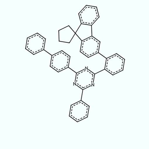 c1ccc(-c2ccc(-c3nc(-c4ccccc4)nc(-c4ccccc4-c4ccc5c(c4)-c4ccccc4C54CCCC4)n3)cc2)cc1